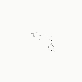 CN1C(=O)C=C[C@]2(C)[C@H]3CC[C@]4(C)C(=O)C(=Cc5cc(F)cc(F)c5)C[C@H]4[C@@H]3CC[C@@H]12